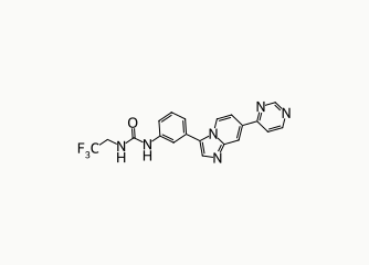 O=C(NCC(F)(F)F)Nc1cccc(-c2cnc3cc(-c4ccncn4)ccn23)c1